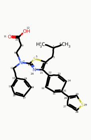 CC(C)Cc1sc(N(CCC(=O)O)Cc2ccccc2)nc1-c1ccc(-c2ccsc2)cc1